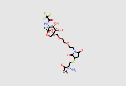 CC(=O)[C@@H](N)CSC1CC(=O)N(CCOCCOC[C@@]23CO[C@@H](O2)[C@@H](NC(=O)C(F)(F)F)[C@@H](O)[C@H]3O)C1=O